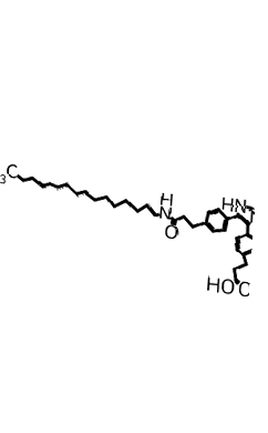 CCCCCCCCCCCCCCCCNC(=O)CCc1ccc(-c2[nH]cnc2-c2ccc(CCC(=O)O)cc2)cc1